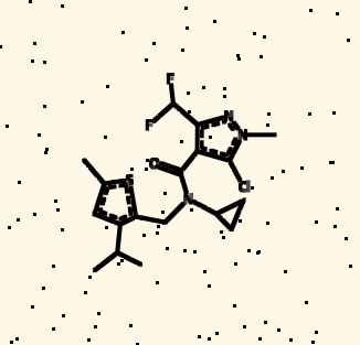 Cc1cc(C(C)C)c(CN(C(=O)c2c(C(F)F)nn(C)c2Cl)C2CC2)s1